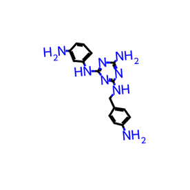 Nc1ccc(CNc2nc(N)nc(Nc3cccc(N)c3)n2)cc1